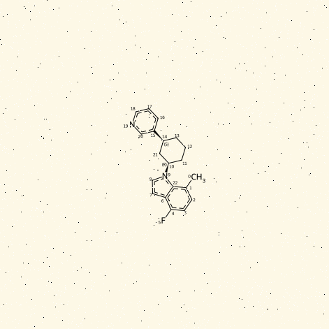 Cc1ccc(F)c2ccn([C@@H]3CCC[C@H](c4cccnc4)C3)c12